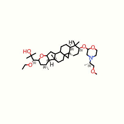 CCO[C@@H](C1C[C@@H](C)[C@H]2C(CC3C4CC[C@H]5C(C)(C)[C@@H](OC6CN([C@@H](C)COC)CCO6)CC[C@@]56CC46CC[C@@]32C)O1)C(C)(C)O